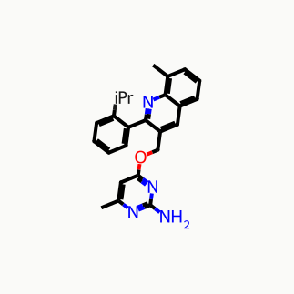 Cc1cc(OCc2cc3cccc(C)c3nc2-c2ccccc2C(C)C)nc(N)n1